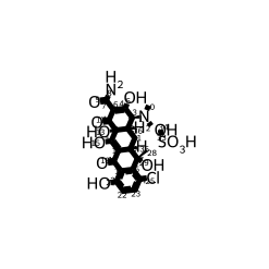 CN(C)[C@@H]1C(O)=C(C(N)=O)C(=O)[C@@]2(O)C(O)=C3C(=O)c4c(O)ccc(Cl)c4[C@@](C)(O)[C@H]3C[C@@H]12.O=S(=O)(O)O